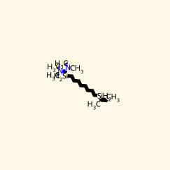 CC=C(C)[SiH2]CCCCCCCC[SiH2]C(N(C)C)N(C)C